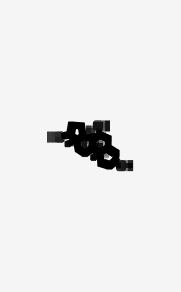 C[C@]12C=C[C@H](O)C=C1C[C@H](O)[C@@H]1[C@@H]2CC[C@]2(C)C(O)=CC[C@@H]12